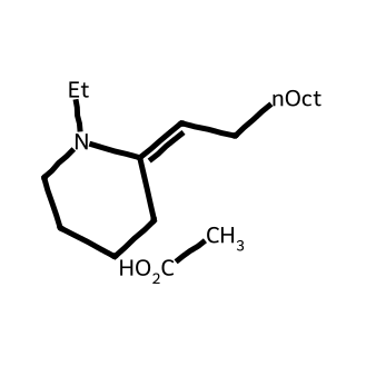 CC(=O)O.CCCCCCCCCC=C1CCCCN1CC